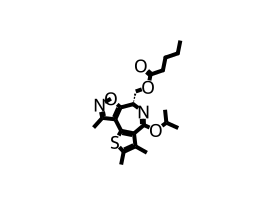 CCCCC(=O)OC[C@@H]1N=C(OC(C)C)c2c(sc(C)c2C)-c2c(C)noc21